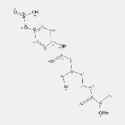 COC(C)C(=O)OCCC(CC(C)=O)CC(=O)Nc1ccc(OS(=O)O)cc1